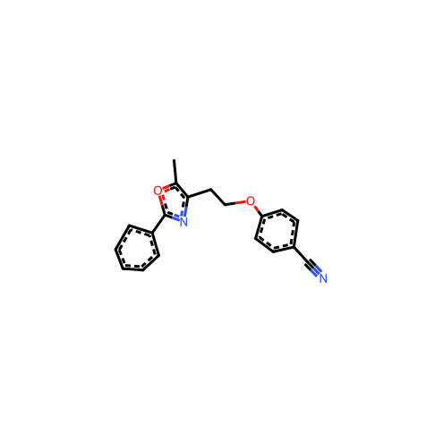 Cc1oc(-c2ccccc2)nc1CCOc1ccc(C#N)cc1